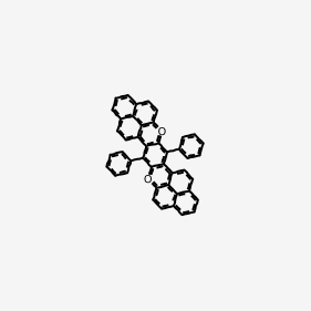 c1ccc(-c2c3oc4ccc5cccc6ccc(c3c(-c3ccccc3)c3oc7ccc8cccc9ccc(c23)c7c89)c4c56)cc1